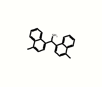 Cc1ccc(C([SiH3])c2ccc(C)c3ccccc23)c2ccccc12